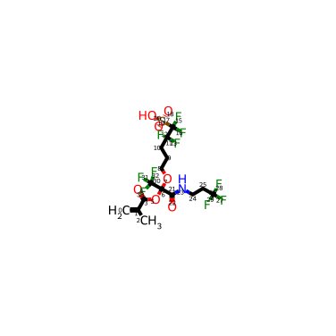 C=C(C)C(=O)OC(OCCCC(F)(F)C(F)(F)S(=O)(=O)O)(C(=O)NCCC(F)(F)F)C(F)(F)F